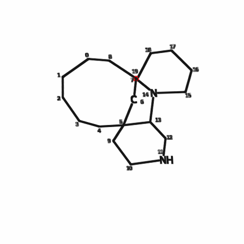 C1CCCCC2(CCC1)CCNCC2N1CCCCC1